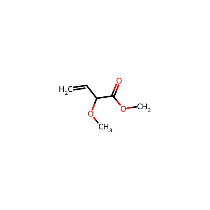 C=CC(OC)C(=O)OC